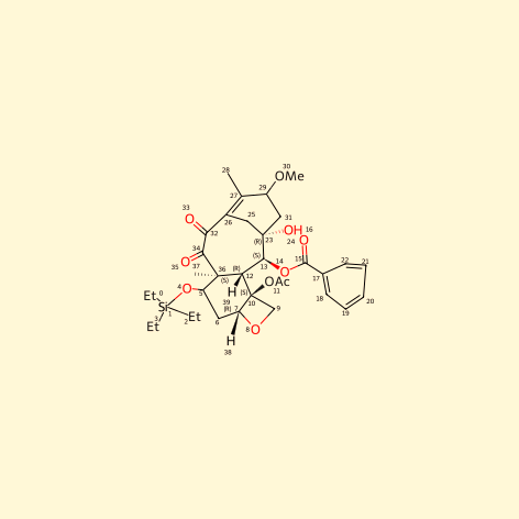 CC[Si](CC)(CC)OC1C[C@H]2OC[C@@]2(OC(C)=O)[C@H]2[C@H](OC(=O)c3ccccc3)[C@@]3(O)CC(=C(C)C(OC)C3)C(=O)C(=O)[C@]12C